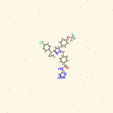 CC(c1ccc(Cl)cc1)c1cc(-c2ccc(OC(F)(F)F)cc2)n(Cc2ccc(C(=O)Nc3nn[nH]n3)cc2)n1